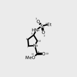 CCS(=O)(=O)NC1CCN(C(=O)OC)C1